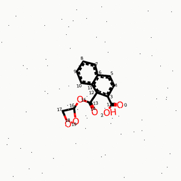 O=C(O)c1ccc2ccccc2c1C(=O)OC1COO1